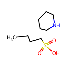 C1CCNCC1.CCCCS(=O)(=O)O